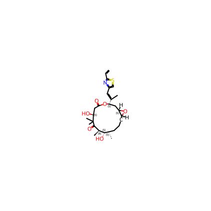 C=Cc1nc(C=C(C)[C@@H]2C[C@@H]3O[C@@H]3CCC[C@H](C)[C@H](O)[C@@H](C)C(=O)C(C)(C)[C@@H](O)CC(=O)O2)cs1